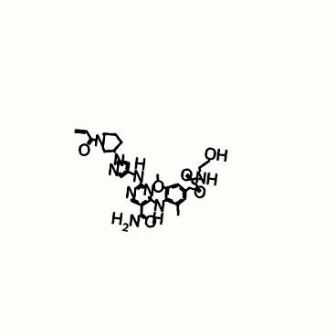 C=CC(=O)N1CCC[C@H](n2cc(Nc3ncc(C(N)=O)c(Nc4c(C)cc(S(=O)(=O)NCCO)cc4OC)n3)cn2)C1